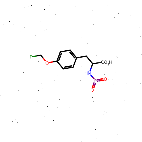 O=C(O)C(Cc1ccc(OCF)cc1)NP(=O)=O